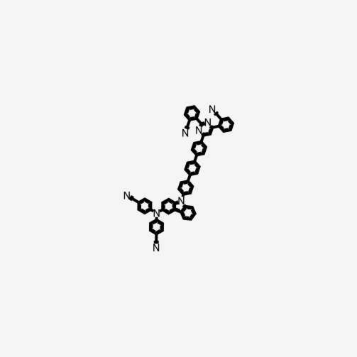 N#Cc1ccc(N(c2ccc(C#N)cc2)c2ccc3c(c2)c2ccccc2n3-c2ccc(-c3ccc(-c4ccc(-c5cc(-c6ccccc6C#N)nc(-c6ccccc6C#N)n5)cc4)cc3)cc2)cc1